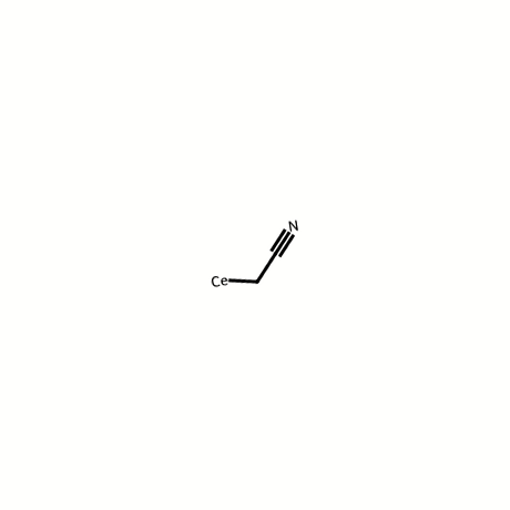 N#C[CH2][Ce]